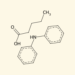 CCCCC(=O)O.c1ccc(Nc2ccccc2)cc1